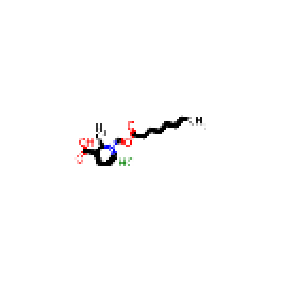 CCCCCCCC(=O)OCN1C=CC=C(C(=O)O)C1C.Cl